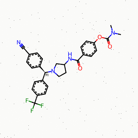 CN(C)C(=O)Oc1ccc(C(=O)NC2CCN([C@H](c3ccc(C#N)cc3)c3ccc(C(F)(F)F)cc3)C2)cc1